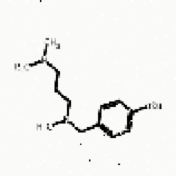 CN(C)CCCN(C)Cc1ccc(C(C)(C)C)cc1